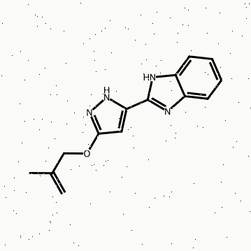 C=C(C)COc1cc(-c2nc3ccccc3[nH]2)[nH]n1